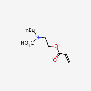 C=CC(=O)OCCN(CCCC)C(=O)O